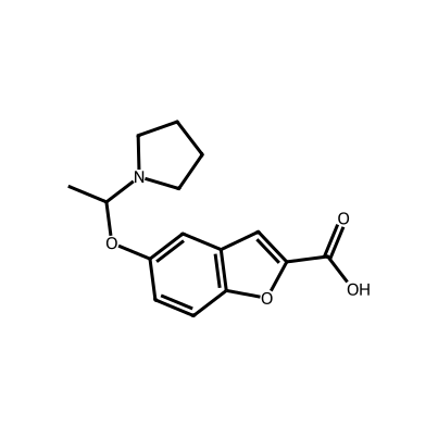 CC(Oc1ccc2oc(C(=O)O)cc2c1)N1CCCC1